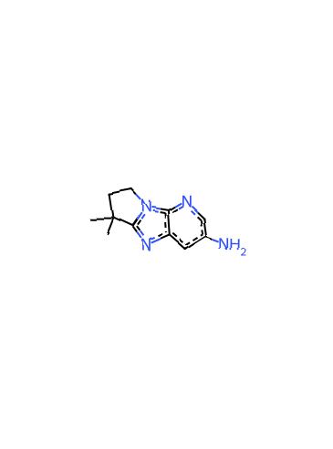 CC1(C)CCn2c1nc1cc(N)cnc12